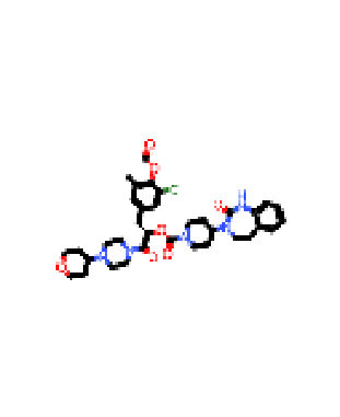 Cc1cc(C[C@@H](OC(=O)N2CCC(N3CCc4ccccc4NC3=O)CC2)C(=O)N2CCN(C3CCOCC3)CC2)cc(Cl)c1OC=O